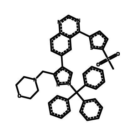 CS(=O)(=O)c1ccc(-c2ncnc3ccc(-c4cn(C(c5ccccc5)(c5ccccc5)c5ccccc5)nc4CN4CCOCC4)cc23)s1